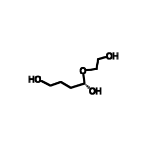 OCCC[C@@H](O)OCCO